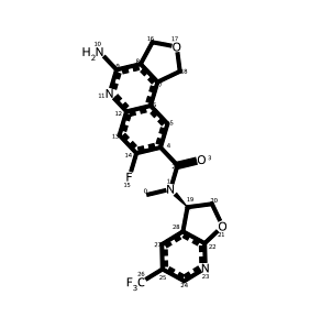 CN(C(=O)c1cc2c3c(c(N)nc2cc1F)COC3)[C@H]1COc2ncc(C(F)(F)F)cc21